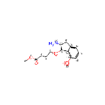 COC(=O)CCCOC1c2c(O)cccc2CC1N